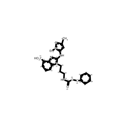 CCn1nc(C)cc1Nc1nc2c(C(=O)O)cccc2n1CCCNC(=O)OCc1ccccc1